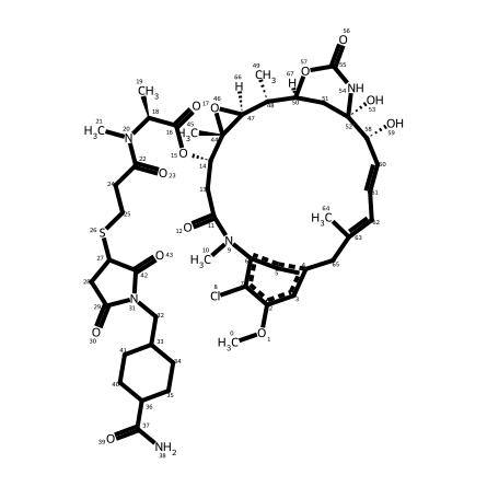 COc1cc2cc(c1Cl)N(C)C(=O)C[C@H](OC(=O)[C@H](C)N(C)C(=O)CCSC1CC(=O)N(CC3CCC(C(N)=O)CC3)C1=O)[C@]1(C)O[C@H]1[C@H](C)[C@@H]1C[C@@](O)(NC(=O)O1)[C@H](O)/C=C/C=C(\C)C2